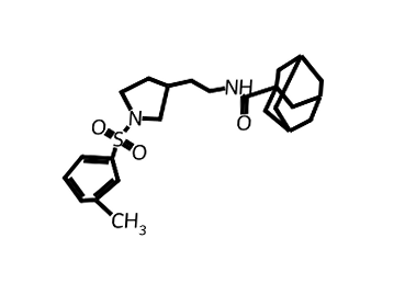 Cc1cccc(S(=O)(=O)N2CCC(CCNC(=O)C34CC5CC(CC(C5)C3)C4)C2)c1